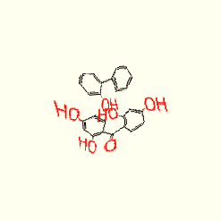 O=C(c1ccc(O)cc1O)c1ccc(O)cc1O.Oc1ccccc1-c1ccccc1